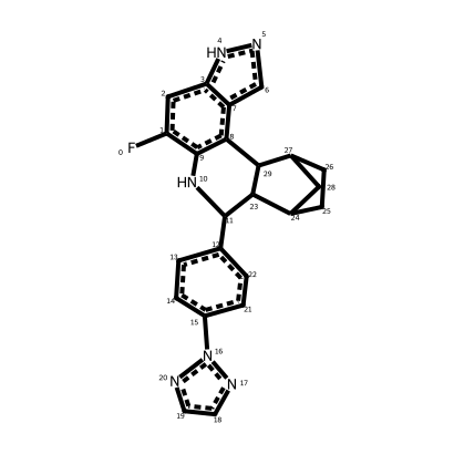 Fc1cc2[nH]ncc2c2c1NC(c1ccc(-n3nccn3)cc1)C1C3CCC(C3)C21